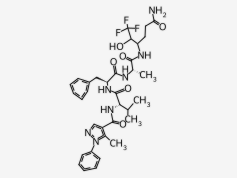 Cc1c(C(=O)N[C@H](C(=O)N[C@@H](Cc2ccccc2)C(=O)N[C@@H](C)C(=O)NC(CCC(N)=O)C(O)C(F)(F)F)C(C)C)cnn1-c1ccccc1